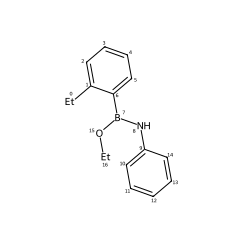 [CH2]Cc1ccccc1B(Nc1ccccc1)OCC